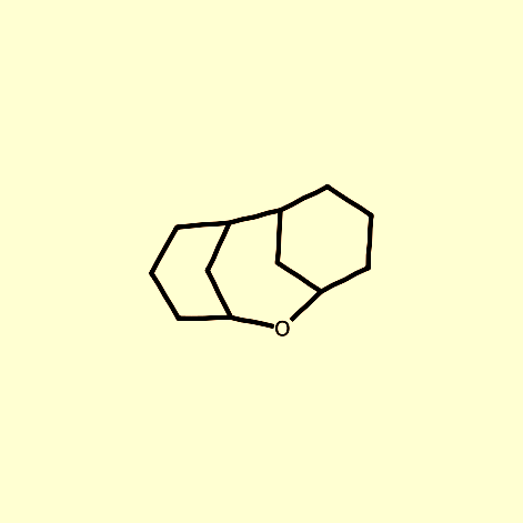 C1CC2CC(C1)C1CCCC(C1)O2